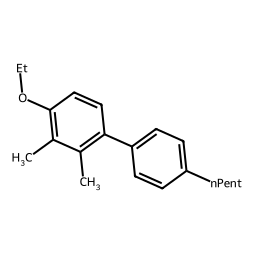 CCCCCc1ccc(-c2ccc(OCC)c(C)c2C)cc1